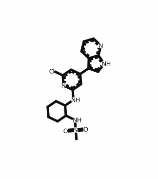 CS(=O)(=O)NC1CCCCC1Nc1cc(-c2c[nH]c3ncccc23)cc(Cl)n1